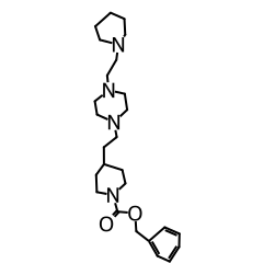 O=C(OCc1ccccc1)N1CCC(CCN2CCN(CCN3CCCCC3)CC2)CC1